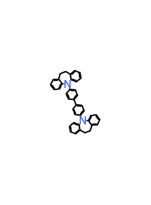 c1ccc2c(c1)CCc1ccccc1N2c1ccc(-c2ccc(N3c4ccccc4CCc4ccccc43)cc2)cc1